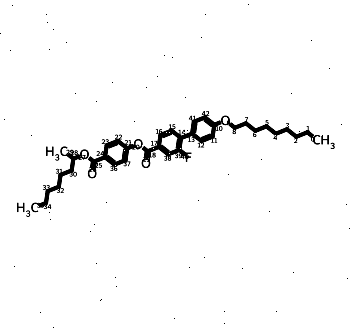 CCCCCCCCCOc1ccc(-c2ccc(C(=O)Oc3ccc(C(=O)OC(C)CCCCCC)cc3)cc2F)cc1